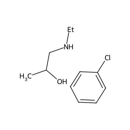 CCNCC(C)O.Clc1ccccc1